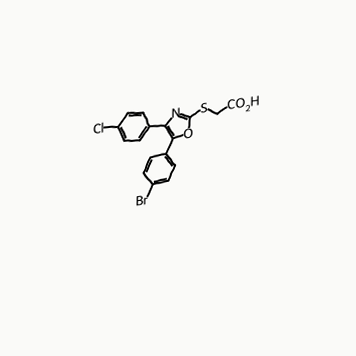 O=C(O)CSc1nc(-c2ccc(Cl)cc2)c(-c2ccc(Br)cc2)o1